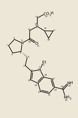 CCn1c(CC[C@@H]2CCCN2C(=O)CN(CC(=O)O)C2CC2)cc2ccc(C(=N)N)cc21